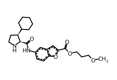 COCCCOC(=O)c1cc2cc(NC(=O)[C@H]3NCC[C@H]3C3CCCCC3)ccc2o1